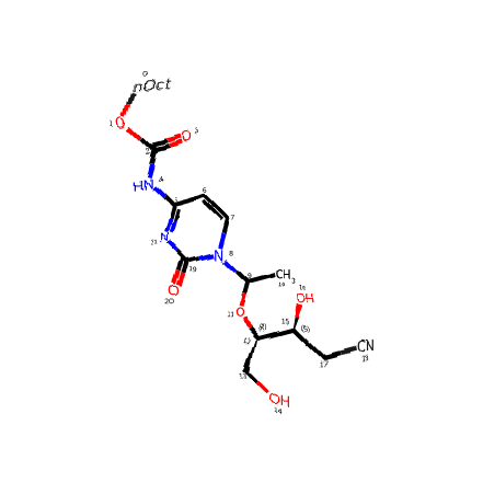 CCCCCCCCOC(=O)Nc1ccn(C(C)O[C@H](CO)[C@@H](O)CC#N)c(=O)n1